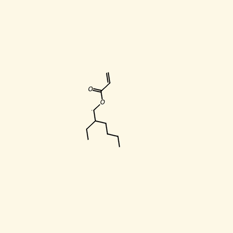 C=CC(=O)O[CH]C(CC)CCCC